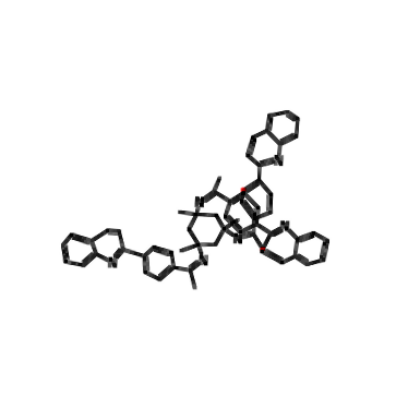 C/C(=N/C1(C)CC(C)(/N=C(/C)c2ccc(-c3ccc4ccccc4n3)cc2)CC(C)(/N=C(/C)c2ccc(-c3ccc4ccccc4n3)cc2)C1)c1ccc(-c2ccc3ccccc3n2)cc1